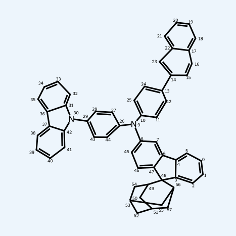 c1ccc2c(c1)-c1cc(N(c3ccc(-c4ccc5ccccc5c4)cc3)c3ccc(-n4c5ccccc5c5ccccc54)cc3)ccc1C21C2CC3CC(C2)CC1C3